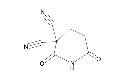 N#CC1(C#N)CCC(=O)NC1=O